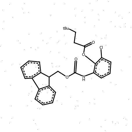 CC(C)(C)CCC(=O)Oc1c(Cl)cccc1NC(=O)OCC1c2ccccc2-c2ccccc21